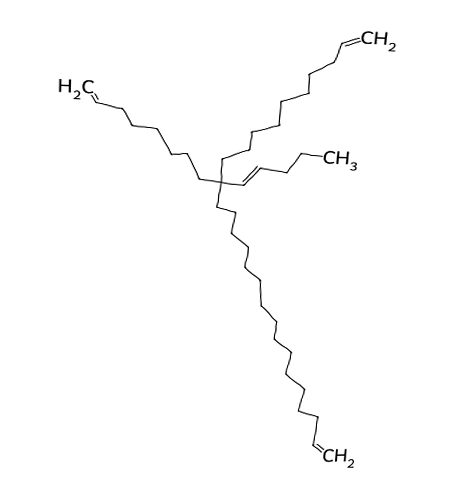 C=CCCCCCCCCCCCCCCC(C=CCCC)(CCCCCCC=C)CCCCCCCCC=C